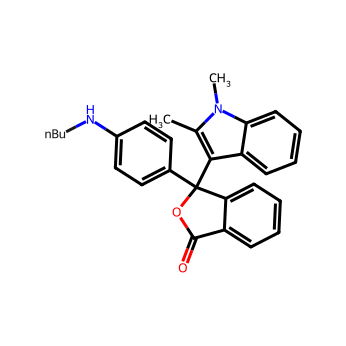 CCCCNc1ccc(C2(c3c(C)n(C)c4ccccc34)OC(=O)c3ccccc32)cc1